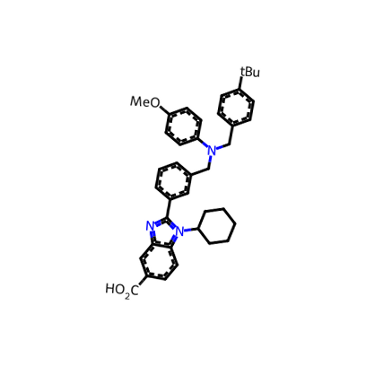 COc1ccc(N(Cc2ccc(C(C)(C)C)cc2)Cc2cccc(-c3nc4cc(C(=O)O)ccc4n3C3CCCCC3)c2)cc1